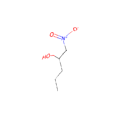 CCCC(O)C[N+](=O)[O-]